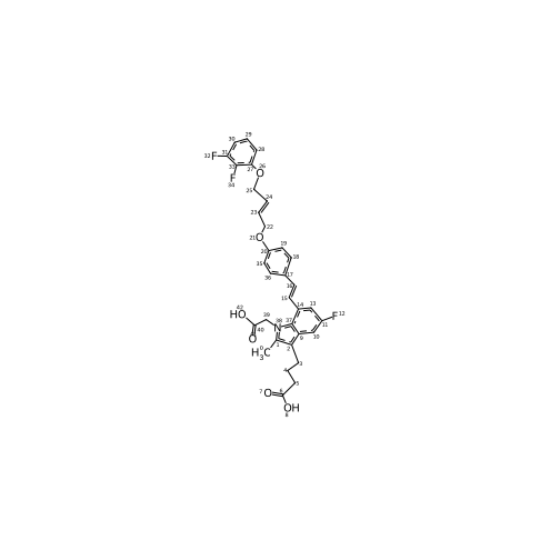 Cc1c(CCCC(=O)O)c2cc(F)cc(C=Cc3ccc(OC/C=C/COc4cccc(F)c4F)cc3)c2n1CC(=O)O